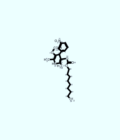 CC1=C(OC(=O)O)C(c2cccc([N+](=O)[O-])c2)C(OC(=O)OCCCCCCCCC(F)(F)F)=C(C)N1